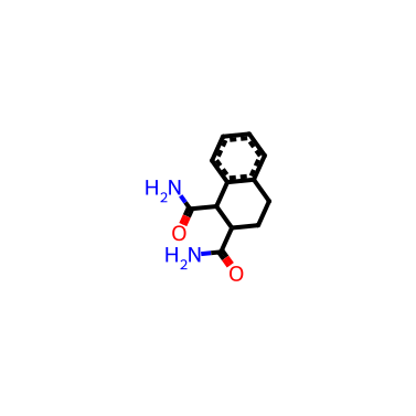 NC(=O)C1CCc2ccccc2C1C(N)=O